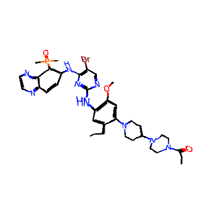 CCc1cc(Nc2ncc(Br)c(Nc3ccc4nccnc4c3P(C)(C)=O)n2)c(OC)cc1N1CCC(N2CCN(C(C)=O)CC2)CC1